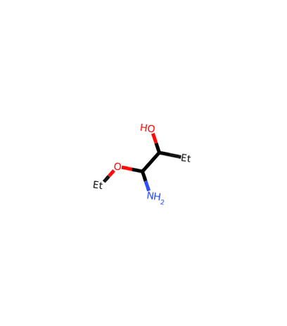 CCOC(N)C(O)CC